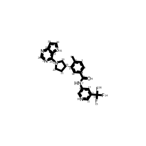 Cc1ccc(C(=O)Nc2cncc(C(F)(F)F)c2)cc1[C@@H]1CCN(c2ncnc3ccsc23)C1